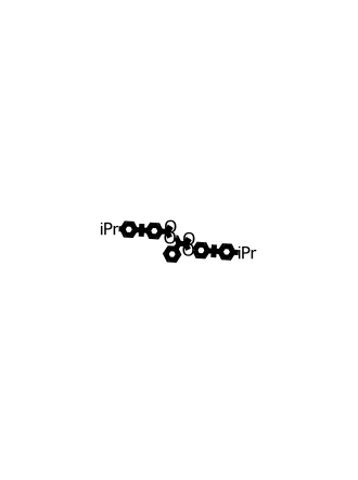 CC(C)C1CCC(C(C)(C)C2CCC(OC(=O)C(COC(=O)C3CCC(C(C)(C)C4CCC(C(C)C)CC4)CC3)C3CCCCC3)CC2)CC1